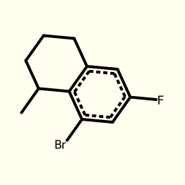 CC1CCCc2cc(F)cc(Br)c21